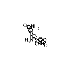 Nc1nc(N2CCC3(CC2)CC(=O)C[C@@H]3N)cnc1Sc1ccc2c(c1Cl)NC(=O)CO2